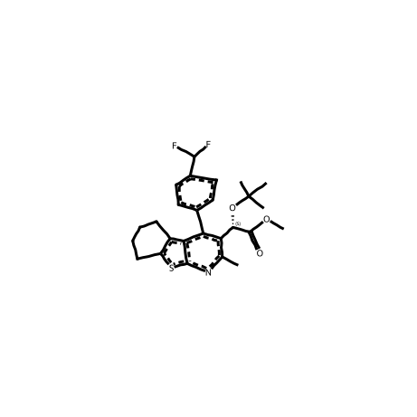 COC(=O)[C@@H](OC(C)(C)C)c1c(C)nc2sc3c(c2c1-c1ccc(C(F)F)cc1)CCCC3